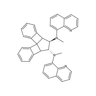 CN(c1cccc2cccnc12)[C@@H]1C2c3ccccc3C23c2ccccc2C3[C@H]1N(C)c1cccc2cccnc12